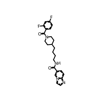 O=C(NCCCCC1CCN(C(=O)c2ccc(F)cc2F)CC1)c1ccc2nccn2c1